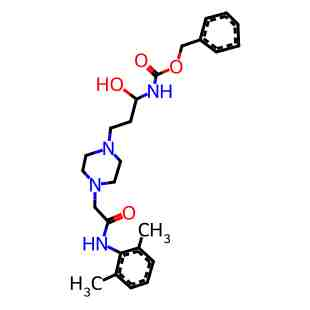 Cc1cccc(C)c1NC(=O)CN1CCN(CCC(O)NC(=O)OCc2ccccc2)CC1